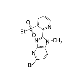 CCS(=O)(=O)c1cccnc1-c1nc2nc(Br)ccc2n1C